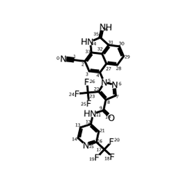 N#Cc1cc(-n2ncc(C(=O)Nc3ccnc(C(F)(F)F)c3)c2C(F)(F)F)c2cccc3c2c1NC3=N